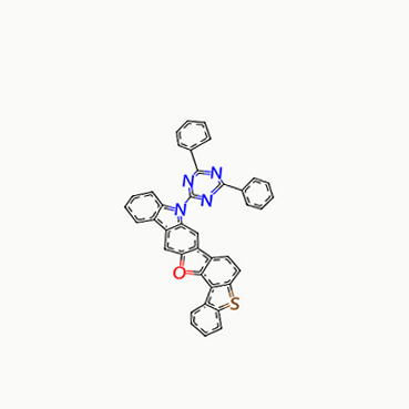 c1ccc(-c2nc(-c3ccccc3)nc(-n3c4ccccc4c4cc5oc6c(ccc7sc8ccccc8c76)c5cc43)n2)cc1